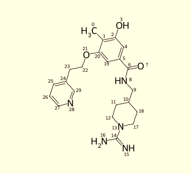 Cc1c(O)cc(C(=O)NCC2CCN(C(=N)N)CC2)cc1OCCc1cccnc1